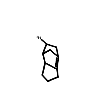 [2H]C1CC2=C3CCCC3C1C2